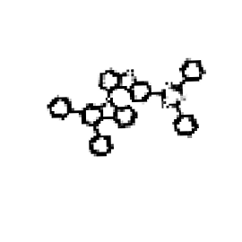 c1ccc(-c2cc(-c3ccccc3)c3c4ccccc4n(-c4cccc5oc6cc(-c7nc(-c8ccccc8)nc(-c8ccccc8)n7)ccc6c45)c3c2)cc1